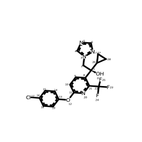 O[C@](Cn1cncn1)(c1ccc(Oc2ccc(Cl)cc2)nc1C(F)(F)F)C1CC1